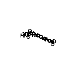 O=C1CCC(N2Cc3nc(N4CCC5(CCC(N6CCN(c7ccc([N+](=O)[O-])cc7)CC6)CC5)CC4)ccc3C2=O)C(=O)N1